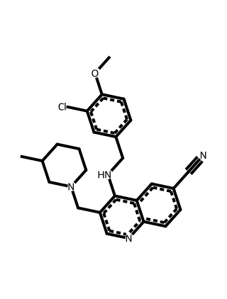 COc1ccc(CNc2c(CN3CCCC(C)C3)cnc3ccc(C#N)cc23)cc1Cl